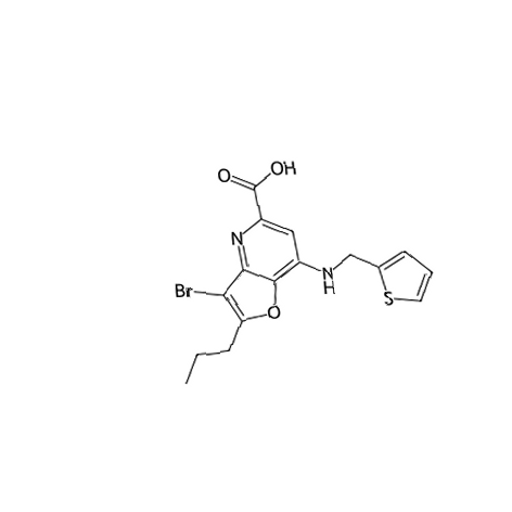 CCCc1oc2c(NCc3cccs3)cc(C(=O)O)nc2c1Br